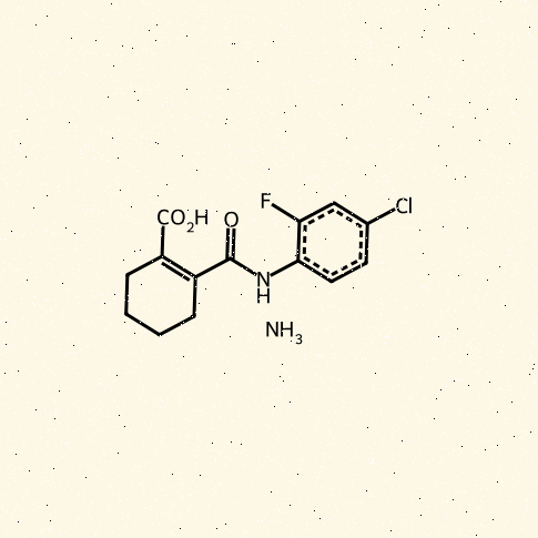 N.O=C(O)C1=C(C(=O)Nc2ccc(Cl)cc2F)CCCC1